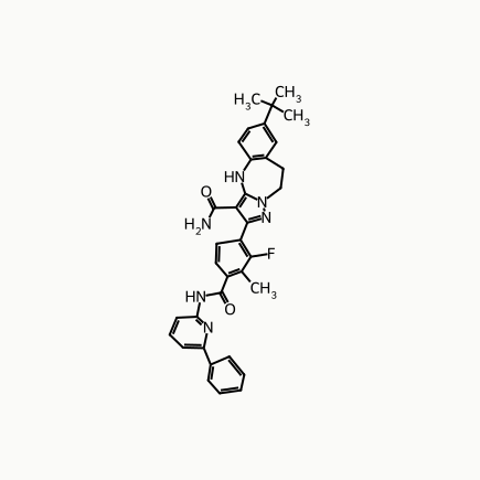 Cc1c(C(=O)Nc2cccc(-c3ccccc3)n2)ccc(-c2nn3c(c2C(N)=O)Nc2ccc(C(C)(C)C)cc2CC3)c1F